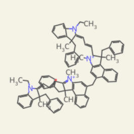 CCN1/C(=C/C=C/C2=[N+](C)c3cc(Cc4cc5c(c6ccccc46)C(C)(Cc4ccccc4)C(/C=C/C=C4/N(CC)c6ccccc6C4(C)Cc4ccccc4)=[N+]5C)c4ccccc4c3C2(C)Cc2ccccc2)C(C)(Cc2ccccc2)c2ccccc21